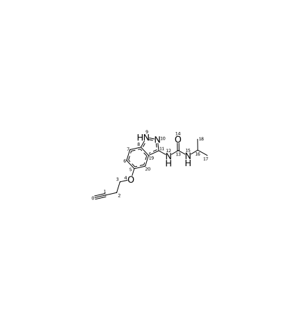 C#CCCOc1ccc2[nH]nc(NC(=O)NC(C)C)c2c1